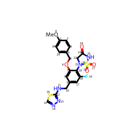 COc1ccc(COc2cc(CNc3nncs3)cc(F)c2N2CC(=O)NS2(=O)=O)cc1